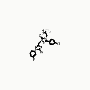 O=c1n(Cc2nc(Br)n(-c3cccc(F)c3)n2)nc(-c2ccc(Cl)cc2)n1CC(O)C(F)(F)F